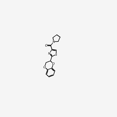 O=C(c1csc(C2COc3ccccc3O2)n1)N1CCCC1